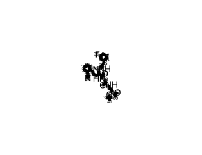 CC(=O)N(CCNC(=O)CNC(=O)c1ccc(-c2ccccc2C#N)nc1NCCc1cccc(F)c1)OC(C)(C)C